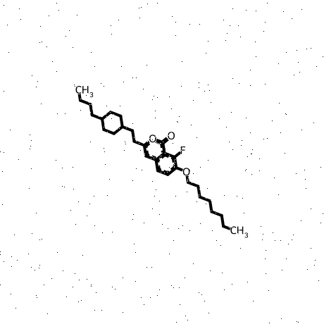 CCCCCCCCOc1ccc2cc(CCC3CCC(CCCC)CC3)oc(=O)c2c1F